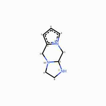 c1cc2n(c1)CC1NCCN1C2